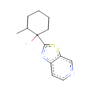 CC1CCCCC1(O)c1nc2ccncc2s1